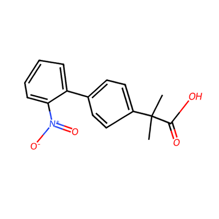 CC(C)(C(=O)O)c1ccc(-c2ccccc2[N+](=O)[O-])cc1